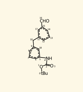 CC(C)(C)OC(=O)Nc1cccc(Cc2cccc(C=O)c2)c1